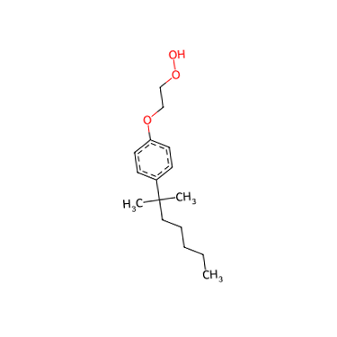 CCCCCC(C)(C)c1ccc(OCCOO)cc1